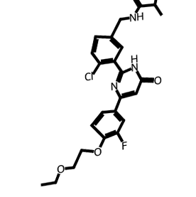 CCOCCOc1ccc(-c2cc(=O)[nH]c(-c3cc(CNC(=O)C(C)C)ccc3Cl)n2)cc1F